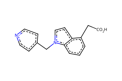 O=C(O)Cc1cccc2c1ccn2Cc1ccncc1